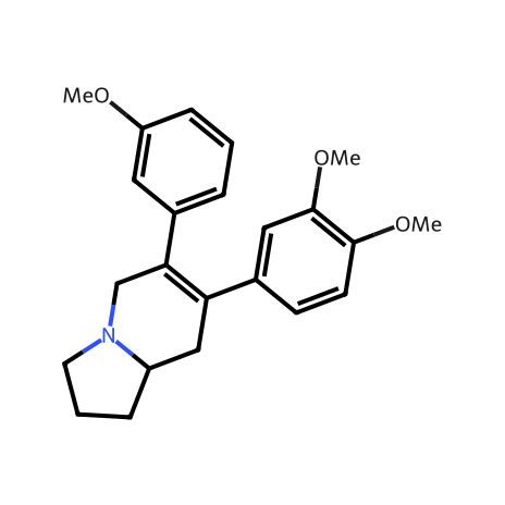 COc1cccc(C2=C(c3ccc(OC)c(OC)c3)CC3CCCN3C2)c1